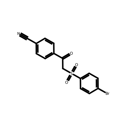 N#Cc1ccc(C(=O)CS(=O)(=O)c2ccc(Br)cc2)cc1